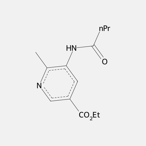 CCCC(=O)Nc1cc(C(=O)OCC)cnc1C